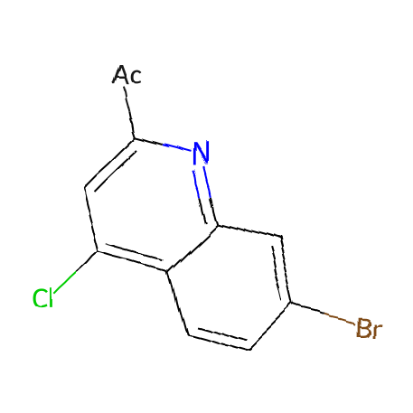 CC(=O)c1cc(Cl)c2ccc(Br)cc2n1